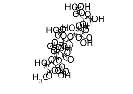 CO[C@@H]1C[C@@H](O)[C@H](O[C@@H]2OC(C=O)[C@H](O[C@H]3CC[C@H](O[C@@H]4OC(C(=O)O)[C@@H](O[C@@H]5C[C@@H](O)[C@H](O)C(COS(=O)(=O)O)O5)[C@H](O)C4O)C(COS(=O)(=O)O)O3)C(O)[C@@H]2OS(=O)(=O)O)C(COS(=O)(=O)O)O1